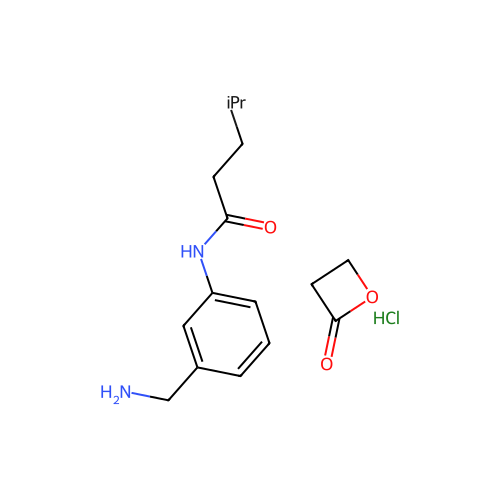 CC(C)CCC(=O)Nc1cccc(CN)c1.Cl.O=C1CCO1